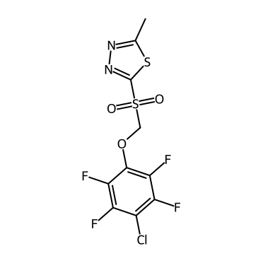 Cc1nnc(S(=O)(=O)COc2c(F)c(F)c(Cl)c(F)c2F)s1